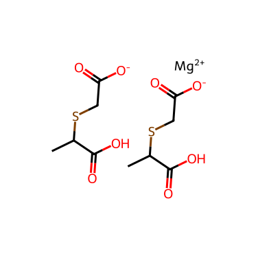 CC(SCC(=O)[O-])C(=O)O.CC(SCC(=O)[O-])C(=O)O.[Mg+2]